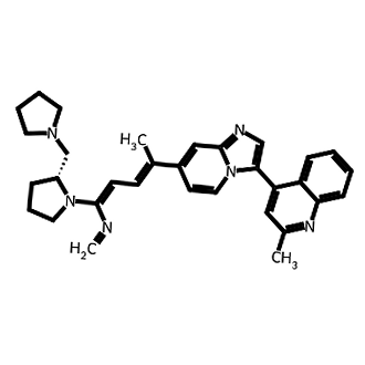 C=N/C(=C\C=C(/C)c1ccn2c(-c3cc(C)nc4ccccc34)cnc2c1)N1CCC[C@@H]1CN1CCCC1